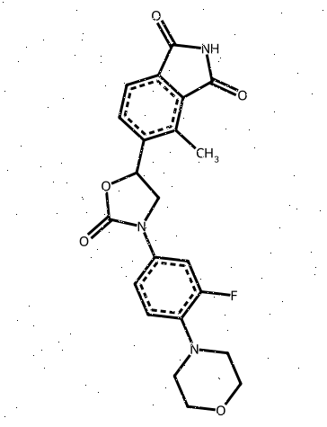 Cc1c(C2CN(c3ccc(N4CCOCC4)c(F)c3)C(=O)O2)ccc2c1C(=O)NC2=O